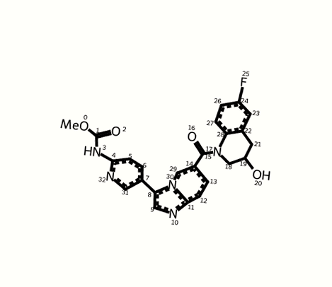 COC(=O)Nc1ccc(-c2cnc3ccc(C(=O)N4CC(O)Cc5cc(F)ccc54)cn23)cn1